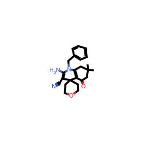 CC1(C)CC(=O)C2=C(C1)N(Cc1ccccc1)C(N)=C(C#N)C21CCOCC1